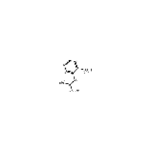 CCCCCCCCC(CCC)Oc1ccccc1C(=O)O